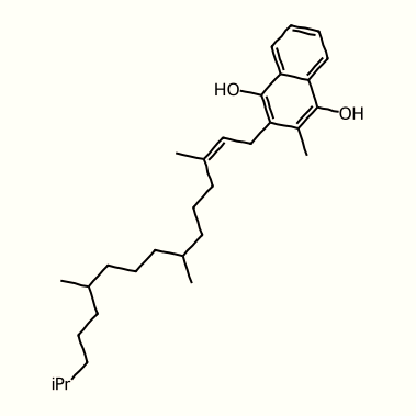 CC(=CCc1c(C)c(O)c2ccccc2c1O)CCCC(C)CCCC(C)CCCC(C)C